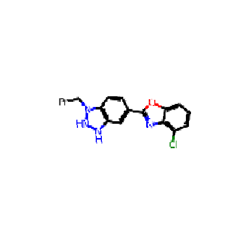 CC(C)CN1NNc2cc(-c3nc4c(Cl)cccc4o3)ccc21